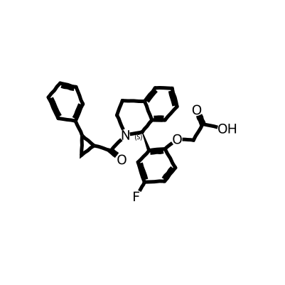 O=C(O)COc1ccc(F)cc1[C@@H]1c2ccccc2CCN1C(=O)C1CC1c1ccccc1